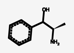 C[C@H](N)C(O)c1ccccc1